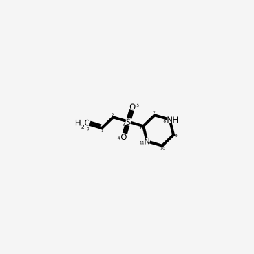 C=CCS(=O)(=O)C1CNCC[N]1